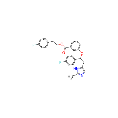 Cc1ncc(CC(Oc2cccc(C(=O)OCCc3ccc(F)cc3)c2)c2ccc(F)cc2)[nH]1